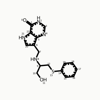 O=c1[nH]cnc2c(CNC(CO)CSc3ccccc3)c[nH]c12